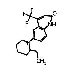 CCC1CCCCN1c1ccc2[nH]c(=O)cc(C(F)(F)F)c2c1